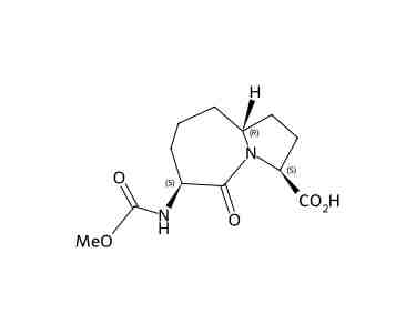 COC(=O)N[C@H]1CCC[C@@H]2CC[C@@H](C(=O)O)N2C1=O